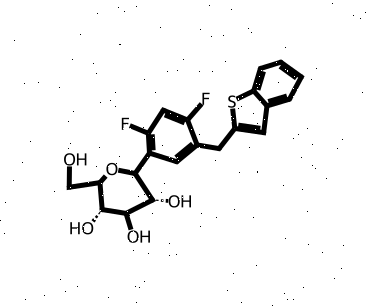 OCC1OC(c2cc(Cc3cc4ccccc4s3)c(F)cc2F)[C@H](O)C(O)[C@@H]1O